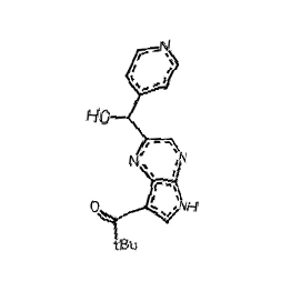 CC(C)(C)C(=O)c1c[nH]c2ncc(C(O)c3ccncc3)nc12